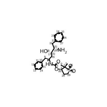 CC1(C)[C@H](OC(=O)N[C@@H](Cc2ccccc2)C[C@H](O)[C@@H](N)Cc2ccccc2)CCS1(=O)=O